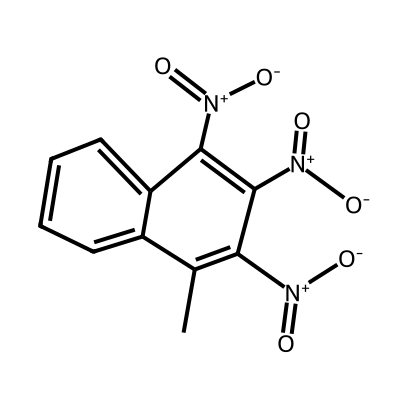 Cc1c([N+](=O)[O-])c([N+](=O)[O-])c([N+](=O)[O-])c2ccccc12